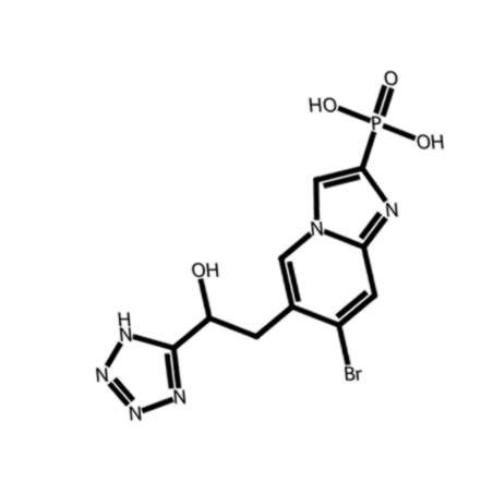 O=P(O)(O)c1cn2cc(CC(O)c3nnn[nH]3)c(Br)cc2n1